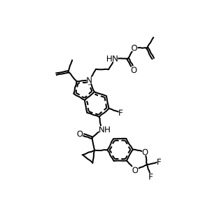 C=C(C)OC(=O)NCCn1c(C(=C)C)cc2cc(NC(=O)C3(c4ccc5c(c4)OC(F)(F)O5)CC3)c(F)cc21